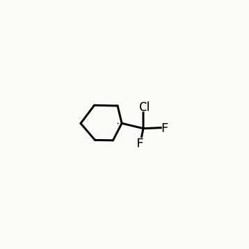 FC(F)(Cl)[C]1CCCCC1